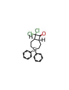 O=C1[C@@H]2CC[Si](c3ccccc3)(c3ccccc3)CC[C@H]2C1(Cl)Cl